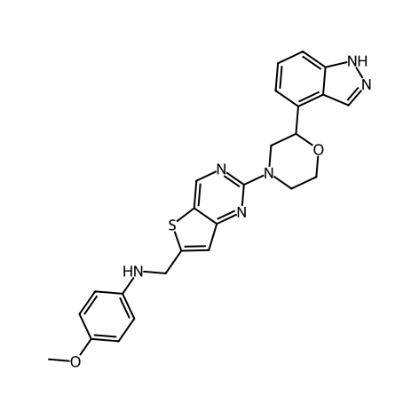 COc1ccc(NCc2cc3nc(N4CCOC(c5cccc6[nH]ncc56)C4)ncc3s2)cc1